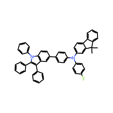 CC1(C)c2ccccc2-c2ccc(N(c3ccc(F)cc3)c3ccc(-c4ccc5c(c4)c(-c4ccccc4)c(-c4ccccc4)n5-c4ccccc4)cc3)cc21